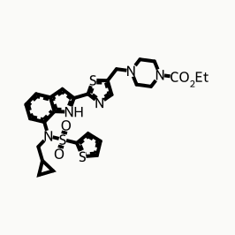 CCOC(=O)N1CCN(Cc2cnc(-c3cc4cccc(N(CC5CC5)S(=O)(=O)c5cccs5)c4[nH]3)s2)CC1